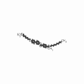 CCCCCCCCCCOC(C)c1ccc(C(=O)Oc2ccc(-c3ccc(OCCCCCCCC)cc3)cc2)cc1